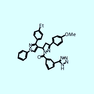 CCc1ccc(-c2nn(-c3ccccc3)cc2C2CC(c3ccc(OC)cc3)=NN2C(=O)c2cccc(-c3nnn[nH]3)c2)cc1